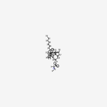 C/C=C(\C)C(=O)OCC1=CC2C(=O)C3(C=C(C)CC3C1)[C@H](C)C[C@]1(OC(=O)CCCCCCC)[C@H]2C1(C)C